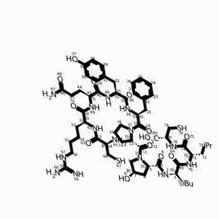 CC[C@H](C)[C@H](NC(=O)[C@@H]1C[C@@H](O)CN1C(=O)[C@@H]1CCCN1C(=O)[C@H](Cc1ccccc1)NC(=O)[C@H](Cc1ccc(O)cc1)NC(=O)[C@H](CCC(N)=O)NC(=O)[C@H](CCCCNC(=N)N)NC(=O)[C@@H](N)CS)C(=O)N[C@@H](CC(C)C)C(=O)N[C@@H](CS)C(=O)O